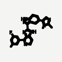 Cc1cc(F)cc(-c2nccc3[nH]c(-c4n[nH]c5ccc(-c6cnc(C)n6C)cc45)nc23)c1